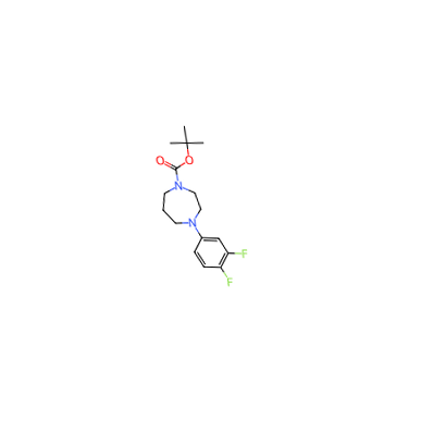 CC(C)(C)OC(=O)N1CCCN(c2ccc(F)c(F)c2)CC1